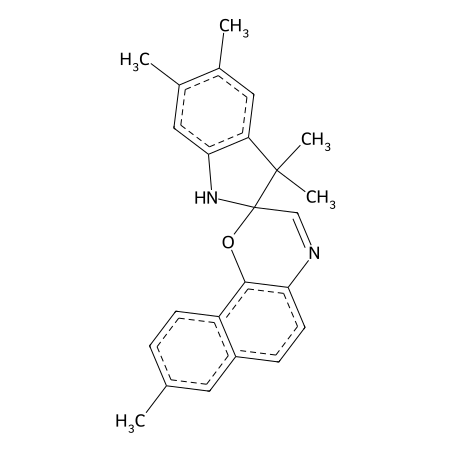 Cc1ccc2c3c(ccc2c1)N=CC1(Nc2cc(C)c(C)cc2C1(C)C)O3